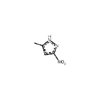 Cc1cc([N+](=O)[O-])n[nH]1